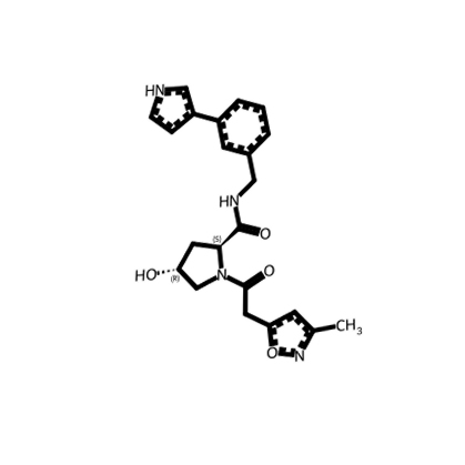 Cc1cc(CC(=O)N2C[C@H](O)C[C@H]2C(=O)NCc2cccc(-c3cc[nH]c3)c2)on1